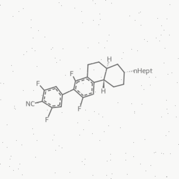 CCCCCCC[C@@H]1CC[C@@H]2c3cc(F)c(-c4cc(F)c(C#N)c(F)c4)c(F)c3CC[C@H]2C1